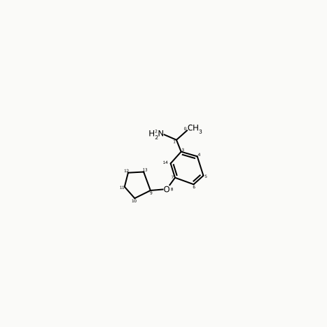 CC(N)c1cccc(OC2CCCC2)c1